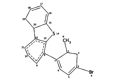 CC1CC(Br)=CC=C1c1cccc2c1SC1=CC=CCC12